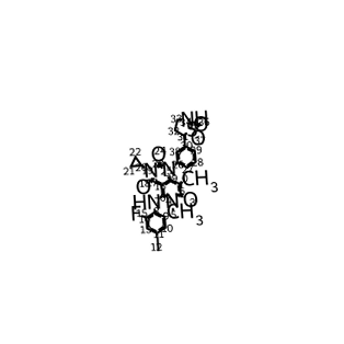 Cc1c(=O)n(C)c(Nc2ccc(I)cc2F)c2c(=O)n(C3CC3)c(=O)n(-c3cccc(C4CCNS4(=O)=O)c3)c12